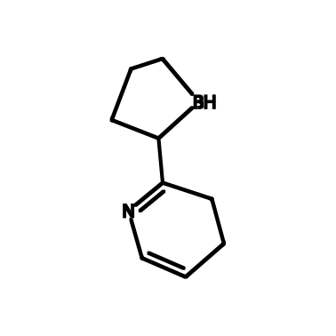 B1CCCC1C1=NC=CCC1